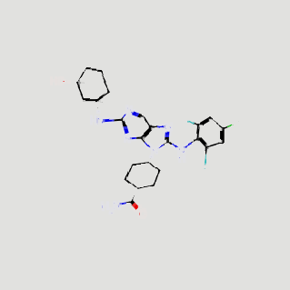 NC(=O)[C@H]1CC[C@H](n2c(Nc3c(F)cc(Cl)cc3F)nc3cnc(N[C@H]4CCC[C@@H](O)C4)nc32)CC1